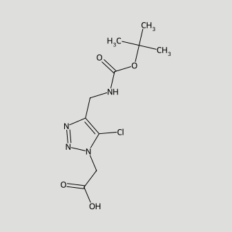 CC(C)(C)OC(=O)NCc1nnn(CC(=O)O)c1Cl